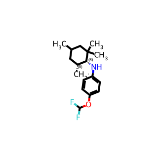 [CH2][C@@H]1CC(C)CC(C)(C)[C@@H]1Nc1ccc(OC(F)F)cc1